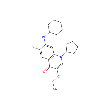 N#CCOc1cn(C2CCCC2)c2cc(NC3CCCCC3)c(F)cc2c1=O